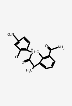 CC(C(=O)Nc1ccc([N+](=O)[O-])cc1Cl)c1cccc(C(N)=O)c1O